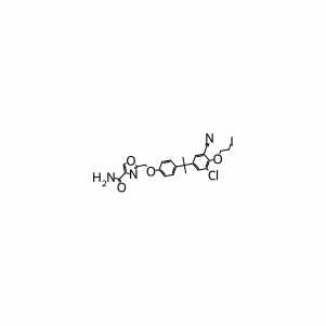 CC(C)(c1ccc(OCc2nc(C(N)=O)co2)cc1)c1cc(Cl)c(OCCI)c(C#N)c1